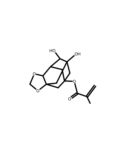 C=C(C)C(=O)OC12CC3C(O)C(O)(C1)CC1(C2)OCOC31